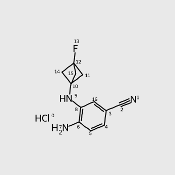 Cl.N#Cc1ccc(N)c(NC23CC(F)(C2)C3)c1